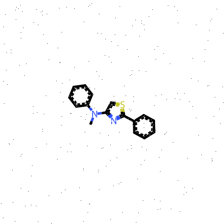 CN(c1ccccc1)c1csc(-c2ccccc2)n1